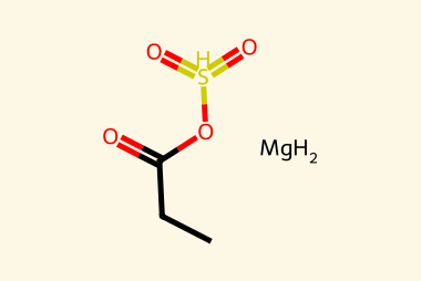 CCC(=O)O[SH](=O)=O.[MgH2]